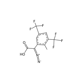 Cc1c(C(=[N+]=[N-])C(=O)O)cc(C(F)(F)F)cc1C(F)(F)F